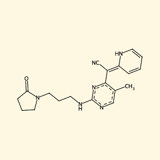 Cc1cnc(NCCCN2CCCC2=O)nc1C(C#N)=C1C=CC=CN1